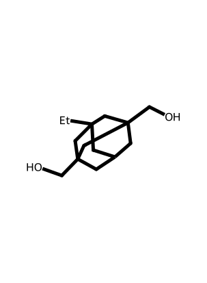 CCC12CC3CC(CO)(C1)CC(CO)(C3)C2